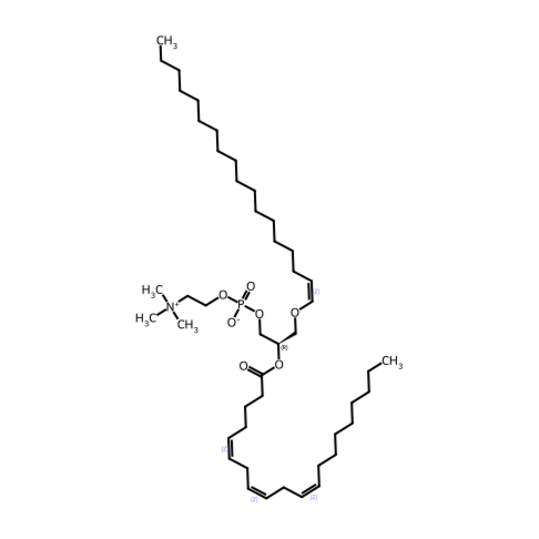 CCCCCCCC/C=C\C/C=C\C/C=C\CCCC(=O)O[C@H](CO/C=C\CCCCCCCCCCCCCCCC)COP(=O)([O-])OCC[N+](C)(C)C